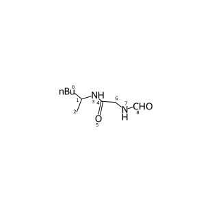 CCCCC(C)NC(=O)CNC=O